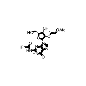 COCCO[C@@H]1[C@H](N)[C@@H](CO)O[C@H]1n1cnc2c(=O)[nH]c(NC(=O)C(C)C)nc21